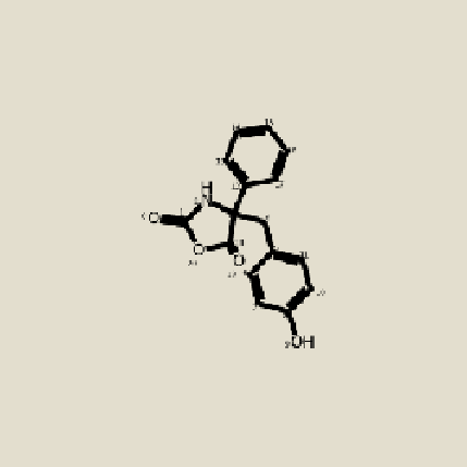 O=C1NC(Cc2ccc(O)cc2)(c2ccccc2)C(=O)O1